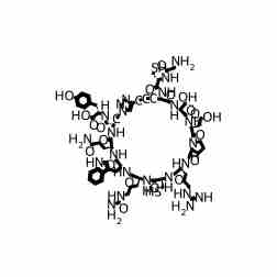 C[C@@H](O)[C@@H]1NC(=O)[C@@H](NC(=O)[C@H](CS)NC(=O)CN)CCCc2cn(nn2)C[C@@H](C(=O)N[C@@H](Cc2ccc(O)cc2)C(=O)O)NC(=O)[C@H](CCC(N)=O)NC(=O)C(Cc2c[nH]c3ccccc23)NC(=O)[C@H](CCCNC(N)=O)NC(=O)[C@H](CS)NC(=O)[C@H](CCCNC(=N)N)NC(=O)[C@@H]2CCCN2C(=O)[C@H](CC(=O)O)NC1=O